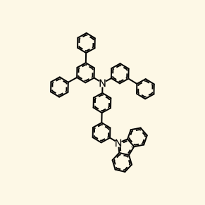 c1ccc(-c2cccc(N(c3ccc(-c4cccc(-n5c6ccccc6c6ccccc65)c4)cc3)c3cc(-c4ccccc4)cc(-c4ccccc4)c3)c2)cc1